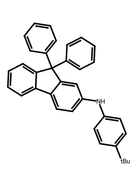 CC(C)(C)c1ccc(Nc2ccc3c(c2)C(c2ccccc2)(c2ccccc2)c2ccccc2-3)cc1